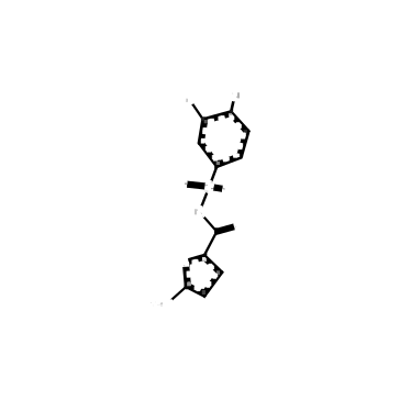 CSc1ccc(C(=O)NS(=O)(=O)c2ccc(N)c(Br)c2)s1